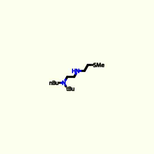 CCCCN(CCNCCSC)C(C)(C)C